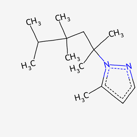 Cc1ccnn1C(C)(C)CC(C)(C)C(C)C